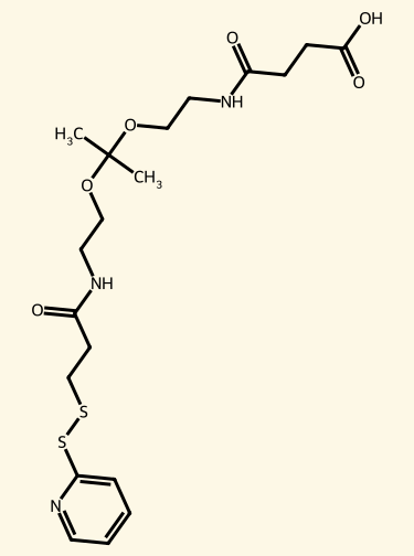 CC(C)(OCCNC(=O)CCSSc1ccccn1)OCCNC(=O)CCC(=O)O